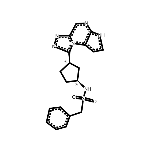 O=S(=O)(Cc1ccccc1)N[C@H]1CC[C@@H](c2nnc3cnc4[nH]ccc4n23)C1